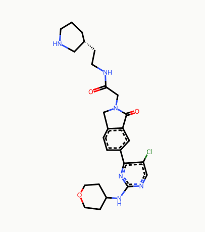 O=C(CN1Cc2ccc(-c3nc(NC4CCOCC4)ncc3Cl)cc2C1=O)NCC[C@H]1CCCNC1